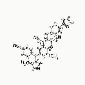 Cc1cc(C(c2ccc(C#N)cc2)c2cncn2C)cc2c(C#N)c(Cc3ccc(-n4cccn4)cc3)c(C#N)nc12